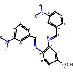 CN(C)c1cccc(/C=N/c2ccc(C(=O)O)cc2/N=C/c2cccc(N(C)C)c2)c1